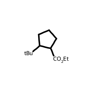 CCOC(=O)C1CCCC1C(C)(C)C